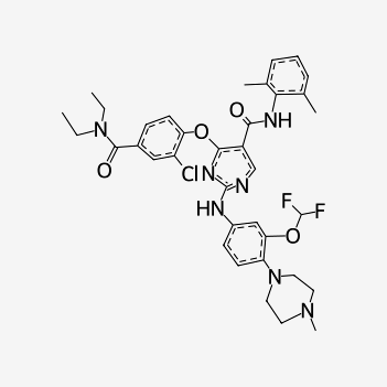 CCN(CC)C(=O)c1ccc(Oc2nc(Nc3ccc(N4CCN(C)CC4)c(OC(F)F)c3)ncc2C(=O)Nc2c(C)cccc2C)c(Cl)c1